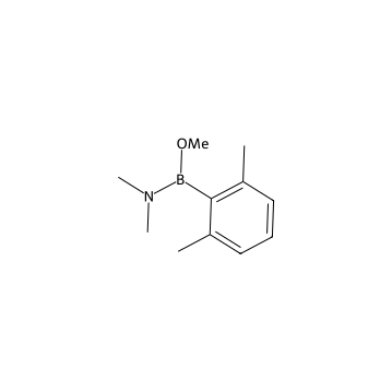 COB(c1c(C)cccc1C)N(C)C